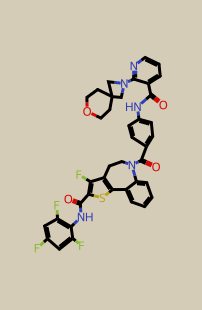 O=C(Nc1ccc(C(=O)N2CCc3c(sc(C(=O)Nc4c(F)cc(F)cc4F)c3F)-c3ccccc32)cc1)c1cccnc1N1CC2(CCOCC2)C1